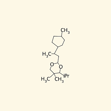 CC1CCC(C(C)CC2OCC(C)(C)C(C(C)C)O2)CC1